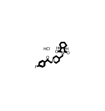 Cl.O=C(CN1CCC(CN2C(=O)[C@@H]3CCCC[C@H]3C2=O)CC1)c1ccc(F)cc1